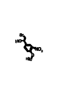 CCCCOc1ccc([C@@H](O)CBr)cc1[N+](=O)[O-]